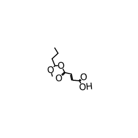 CCCC(OC)OC(=O)C=CC(=O)O